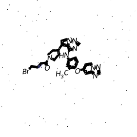 Cc1cc(Nc2ncnn3ccc(C4CCN(C(=O)/C=C/CBr)CC4)c23)ccc1Oc1ccn2ncnc2c1